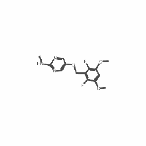 CNc1ncc(OCc2c(F)c(OC)cc(OC)c2F)cn1